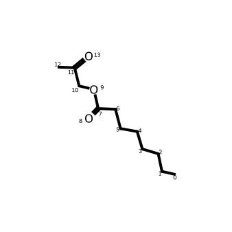 CCCCCCCC(=O)OCC(C)=O